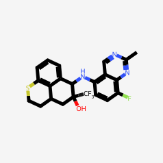 Cc1ncc2c(NC3c4cccc5c4C(CCS5)CC3(O)C(F)(F)F)ccc(F)c2n1